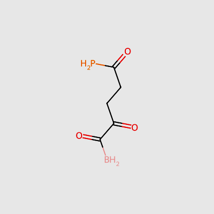 BC(=O)C(=O)CCC(=O)P